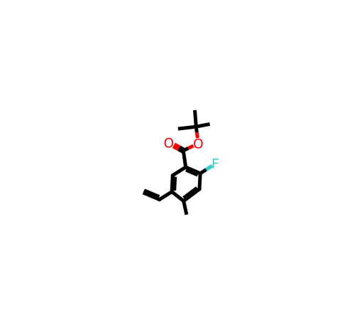 C=Cc1cc(C(=O)OC(C)(C)C)c(F)cc1C